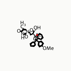 COc1ccc(C(ON(C(C)=O)[C@H]2C[C@H](n3cc(C)c(=O)[nH]c3=O)O[C@@H]2CO)(c2ccccc2)c2ccccc2)cc1